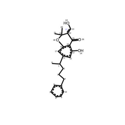 CC(CCCc1ccccc1)c1cc(O)c2c(c1)OC(C)(C)/C(=C\O)C2=O